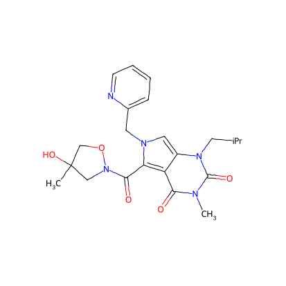 CC(C)Cn1c(=O)n(C)c(=O)c2c(C(=O)N3CC(C)(O)CO3)n(Cc3ccccn3)cc21